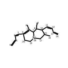 C=C/C=C\C1=C(C)C2C(C)C(/C=C\C=C)C(C)CN2CC1